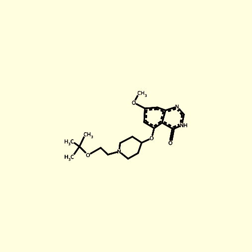 COc1cc(OC2CCN(CCOC(C)(C)C)CC2)c2c(=O)[nH]cnc2c1